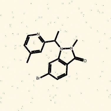 Cc1ccnc(C(C)n2c3cc(Br)ccc3c(=O)n2C)c1